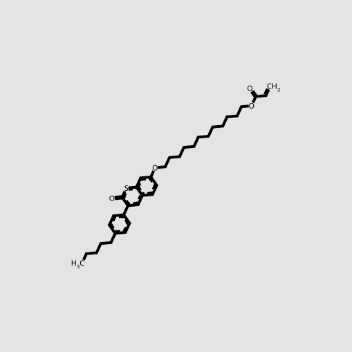 C=CC(=O)OCCCCCCCCCCCCOc1ccc2cc(-c3ccc(CCCCC)cc3)c(=O)sc2c1